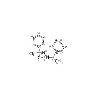 CC(/N=N/C(C)(Cl)c1ccccc1)c1ccccc1